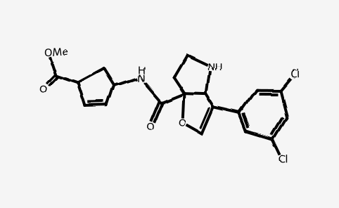 COC(=O)C1C=CC(NC(=O)C23CCNC2C(c2cc(Cl)cc(Cl)c2)=CO3)C1